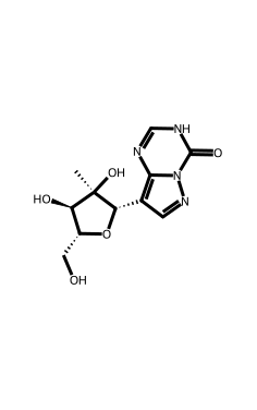 C[C@@]1(O)[C@H](O)[C@@H](CO)O[C@H]1c1cnn2c(=O)[nH]cnc12